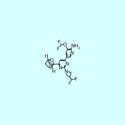 Nc1ncc(-c2cc(N3C[C@@H]4CC[C@H]3CO4)nc(N3CC(C(F)F)C3)n2)cc1OC(F)F